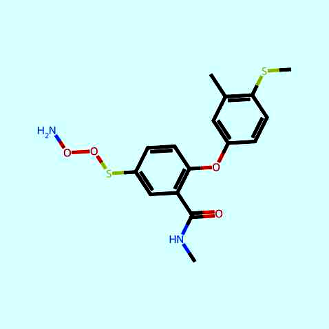 CNC(=O)c1cc(SOON)ccc1Oc1ccc(SC)c(C)c1